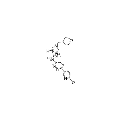 c1cc(C2CC2)ncc1-c1ccc(N[C@H]2[C@@H]3CN(CC4CCOCC4)C[C@@H]32)nn1